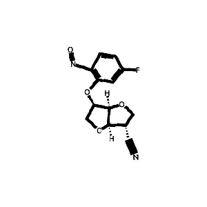 N#C[C@H]1CO[C@H]2[C@@H]1OC[C@H]2Oc1cc(F)ccc1N=O